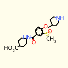 C[S+]([O-])c1cc(C(=O)N[C@H]2CC[C@H](C(=O)O)CC2)ccc1OCC1CCNCC1